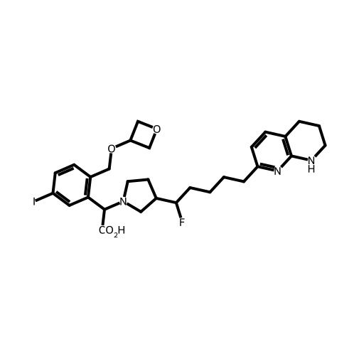 O=C(O)C(c1cc(I)ccc1COC1COC1)N1CCC(C(F)CCCCc2ccc3c(n2)NCCC3)C1